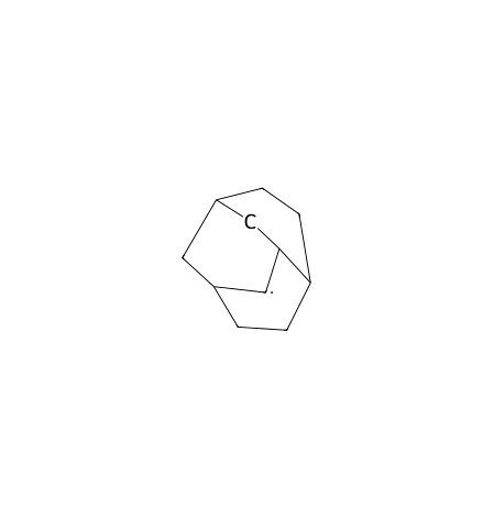 [CH]1C2CCC3CCC(C2)CC13